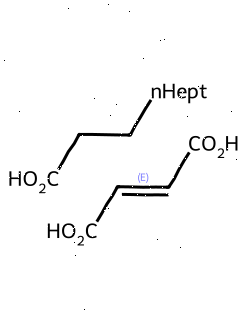 CCCCCCCCCC(=O)O.O=C(O)/C=C/C(=O)O